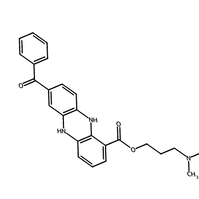 CN(C)CCCOC(=O)c1cccc2c1Nc1ccc(C(=O)c3ccccc3)cc1N2